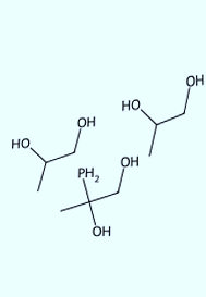 CC(O)(P)CO.CC(O)CO.CC(O)CO